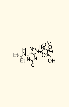 CCC(CC)Nc1nc(Cl)nc2c1ncn2[C@@H]1O[C@H](CO)[C@H]2OC(C)(C)O[C@H]21